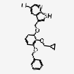 Clc1cnc2[nH]cc(COc3cccc(OCc4ccccc4)c3OCC3CC3)c2c1